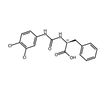 O=C(Nc1ccc(Cl)c(Cl)c1)N[C@@H](Cc1ccccc1)C(=O)O